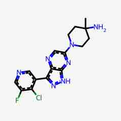 CC1(N)CCN(c2cnc3c(-c4cncc(F)c4Cl)n[nH]c3n2)CC1